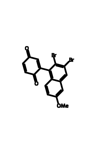 COc1ccc2c(C3=CC(=O)C=CC3=O)c(Br)c(Br)cc2c1